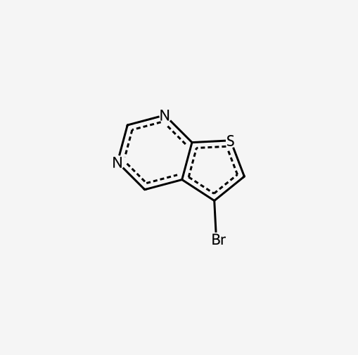 Brc1csc2ncncc12